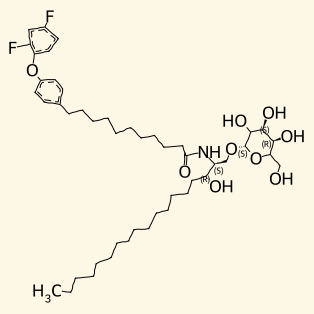 CCCCCCCCCCCCCCC[C@@H](O)[C@H](CO[C@H]1OC(CO)[C@H](O)[C@H](O)C1O)NC(=O)CCCCCCCCCCc1ccc(Oc2ccc(F)cc2F)cc1